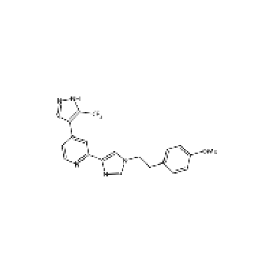 COc1ccc(CCn2cnc(-c3cc(-c4nn[nH]c4C(F)(F)F)ccn3)c2)cc1